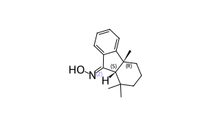 CC1(C)CCC[C@@]2(C)c3ccccc3/C(=N\O)[C@@H]12